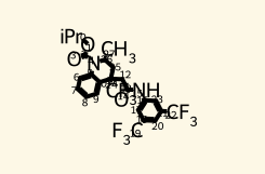 CC(C)OC(=O)N1c2ccccc2[C@](CC(=O)Nc2cc(C(F)(F)F)cc(C(F)(F)F)c2)(C(F)(F)F)C[C@@H]1C